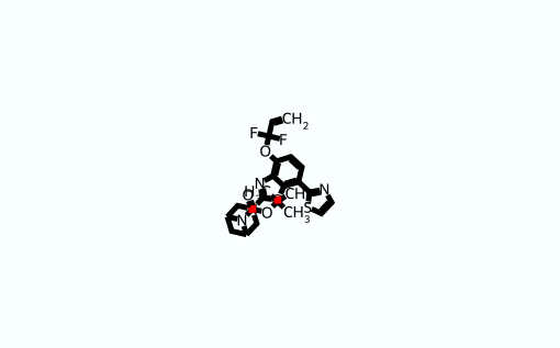 C=CC(F)(F)Oc1ccc(-c2nccs2)c2oc(N3CC4CC(C3)N4C(=O)OC(C)(C)C)nc12